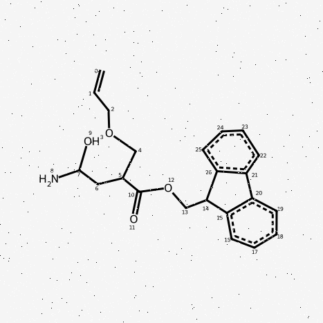 C=CCOCC(CC(N)O)C(=O)OCC1c2ccccc2-c2ccccc21